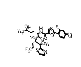 CC(O)CC[C@H](NC(=O)c1cnc(-c2ccc(Cl)cc2F)o1)C(=O)N[C@@H](CCC(F)(F)F)C(O)c1nccs1